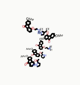 CCC(Oc1cccc2c1-c1ccc(OC)cc1C2=O)C1CCNC1.CCN(CC)CCCOc1cccc2c1-c1ccc(OC)cc1C2=O.CCN(CC)CCOc1cccc2c1-c1ccc(OC)cc1C2=O.COc1ccc2c(c1)C(=O)c1cccc(OC(C)C3CCCCN3)c1-2.COc1ccc2c(c1)C(=O)c1cccc(OC(C)C3CCCN3)c1-2